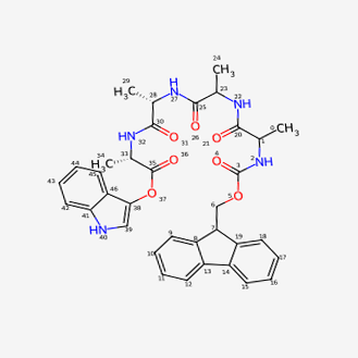 CC(NC(=O)OCC1c2ccccc2-c2ccccc21)C(=O)NC(C)C(=O)N[C@@H](C)C(=O)N[C@@H](C)C(=O)Oc1c[nH]c2ccccc12